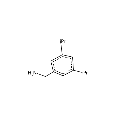 CC(C)c1[c]c(C(C)C)cc(CN)c1